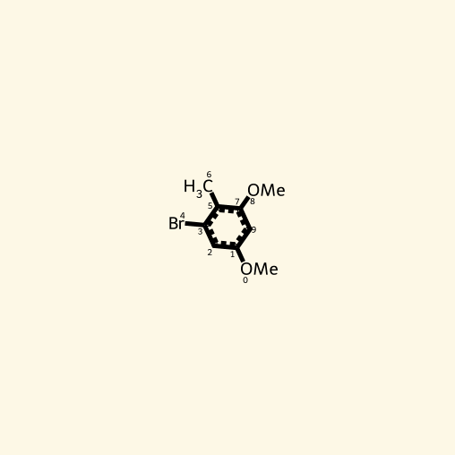 COc1cc(Br)c(C)c(OC)c1